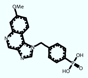 COc1ccc2c(c1)ncc1ncn(Cc3ccc(P(=O)(O)O)cc3)c12